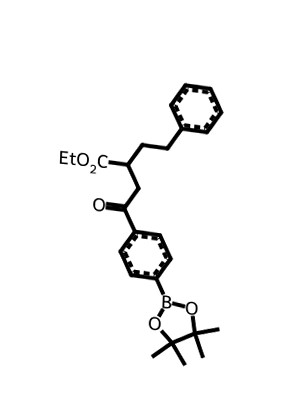 CCOC(=O)C(CCc1ccccc1)CC(=O)c1ccc(B2OC(C)(C)C(C)(C)O2)cc1